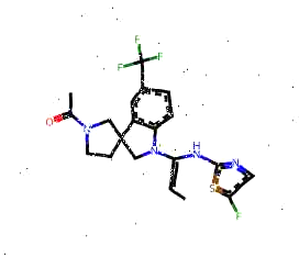 CC=C(Nc1ncc(F)s1)N1CC2(CCN(C(C)=O)C2)c2cc(C(F)(F)F)ccc21